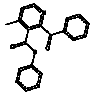 Cc1ccnc(C(=O)c2ccccc2)c1C(=O)Oc1ccccc1